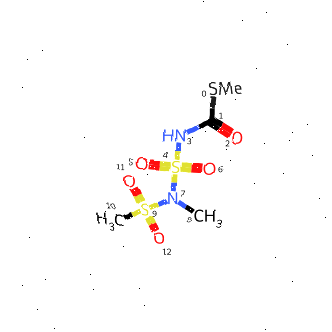 CSC(=O)NS(=O)(=O)N(C)S(C)(=O)=O